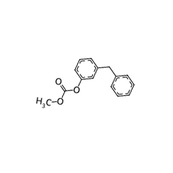 COC(=O)Oc1cccc(Cc2ccccc2)c1